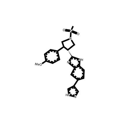 COc1ccc(C2CN(S(C)(=O)=O)C[C@@H]2c2nc3cc(-c4cn[nH]c4)ccc3[nH]2)cc1